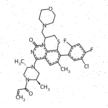 C=CC(=O)N1C[C@H](C)N(c2nc(=O)n3c4c(c(-c5cc(Cl)c(F)cc5F)c(C)cc24)SCC3CN2CCOCC2)C[C@H]1C